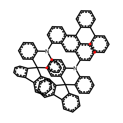 c1ccc(-c2ccccc2-c2c3cccc(N4c5ccccc5C5(c6ccccc6-c6ccccc65)c5ccccc54)c3cc3c(N4c5ccccc5C5(c6ccccc6-c6ccccc65)c5ccccc54)cccc23)cc1